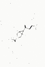 CN(C)/C=C/C(=O)C1[C@H]2CN(C(=O)O)C[C@@H]12